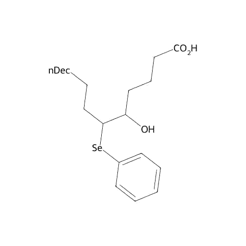 CCCCCCCCCCCCC([Se]c1ccccc1)C(O)CCCC(=O)O